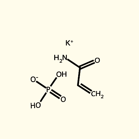 C=CC(N)=O.O=P([O-])(O)O.[K+]